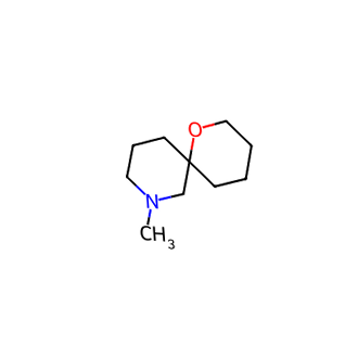 CN1CCCC2(CCCCO2)C1